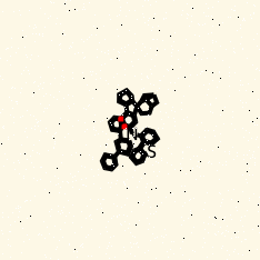 c1ccc(-c2ccc(N(c3ccc4c(c3)C3(CCC5CC6CC3C56)c3ccccc3-4)c3cccc4sc5ccccc5c34)c(-c3ccccc3)c2)cc1